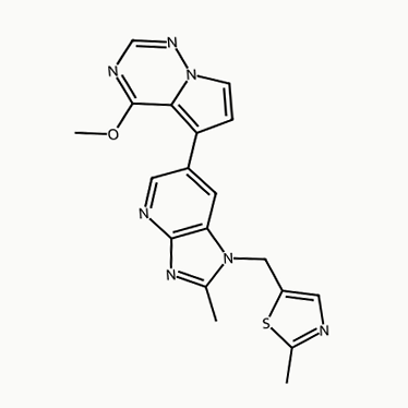 COc1ncnn2ccc(-c3cnc4nc(C)n(Cc5cnc(C)s5)c4c3)c12